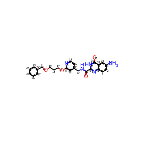 Nc1ccc2nc(C(=O)NCc3ccnc(OCCCOCc4ccccc4)c3)[nH]c(=O)c2c1